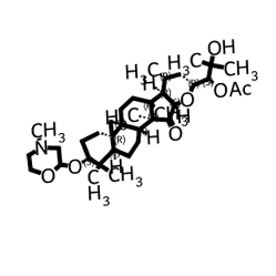 CC(=O)O[C@@H]([C@H]1C[C@@H](C)[C@H]2[C@H](O1)C(=O)[C@@]1(C)[C@@H]3CC[C@H]4C(C)(C)[C@@H](OC5CN(C)CCO5)CC[C@@]45C[C@@]35CC[C@]21C)C(C)(C)O